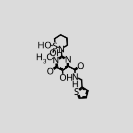 Cn1c(N2CCCCS2(O)O)nc(C(=O)NCc2cccs2)c(O)c1=O